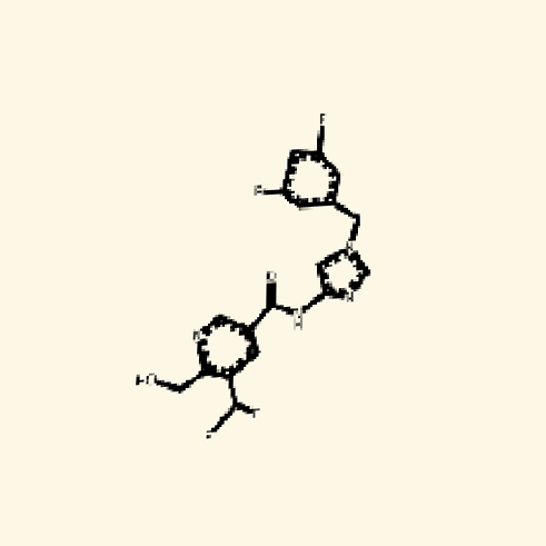 O=C(Nc1cn(Cc2cc(F)cc(F)c2)cn1)c1cnc(CO)c(C(F)F)c1